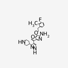 Cc1c(F)cccc1CCOc1c(N)ncc2c(-c3c[nH]nc3C3CCNCC3)coc12